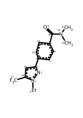 CCn1nc(-c2ccc(C(=O)N(C)C)cc2)cc1C(F)(F)F